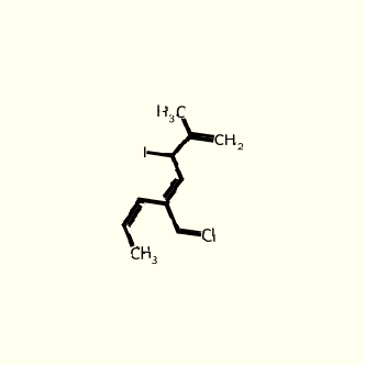 C=C(C)C(I)/C=C(\C=C/C)CCl